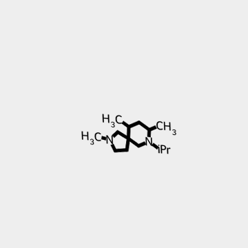 CC(C)N1CC2(CCN(C)C2)C(C)CC1C